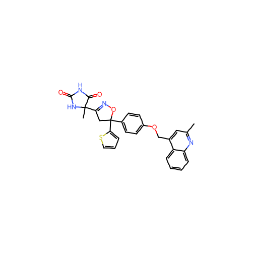 Cc1cc(COc2ccc(C3(c4cccs4)CC(C4(C)NC(=O)NC4=O)=NO3)cc2)c2ccccc2n1